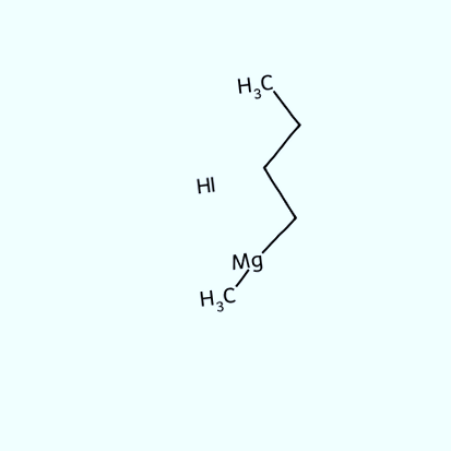 CCC[CH2][Mg][CH3].I